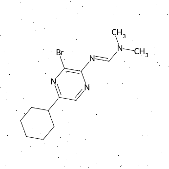 CN(C)C=Nc1ncc(C2CCCCC2)nc1Br